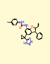 C=CC1Oc2c(NC(=O)Nc3ccc(C)cc3)cc(C3(c4nnn[nH]4)CC3)cc2C1c1ccccc1